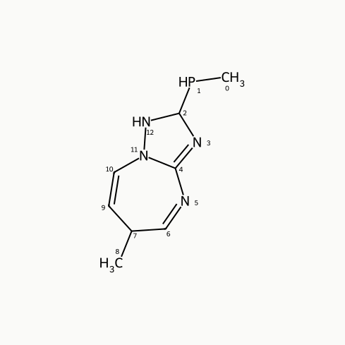 CPC1N=C2N=CC(C)C=CN2N1